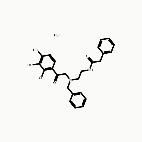 Br.O=C(Cc1ccccc1)NCCN(CC(=O)c1ccc(O)c(O)c1Cl)Cc1ccccc1